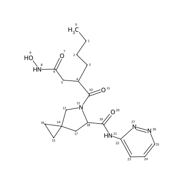 CCCCC(CC(=O)NO)C(=O)N1CC2(CC2)CC1C(=O)Nc1cccnn1